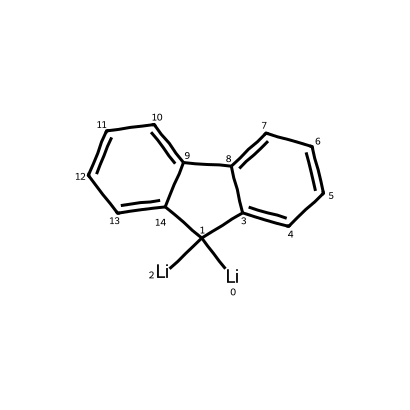 [Li][C]1([Li])c2ccccc2-c2ccccc21